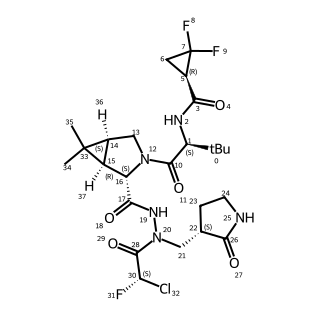 CC(C)(C)[C@H](NC(=O)[C@H]1CC1(F)F)C(=O)N1C[C@H]2[C@@H]([C@H]1C(=O)NN(C[C@@H]1CCNC1=O)C(=O)[C@@H](F)Cl)C2(C)C